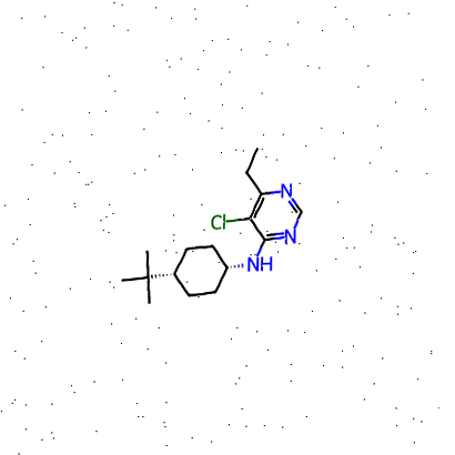 CCc1ncnc(N[C@H]2CC[C@@H](C(C)(C)C)CC2)c1Cl